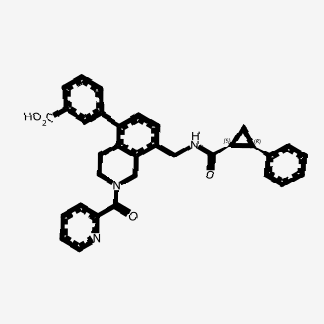 O=C(O)c1cccc(-c2ccc(CNC(=O)[C@H]3C[C@H]3c3ccccc3)c3c2CCN(C(=O)c2ccccn2)C3)c1